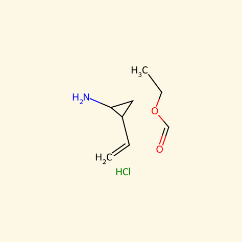 C=CC1CC1N.CCOC=O.Cl